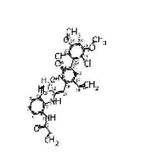 C=CC(=O)Nc1cccc(F)c1N/C(C)=C/c1c(C=C)cc(-c2c(Cl)c(OC)cc(OC)c2Cl)c(=O)n1C